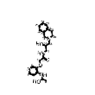 CC(O)Nc1ccncc1OCC(=O)NCC(O)CN1CCc2ccccc2C1